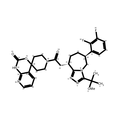 COC(C)(C)c1nnc2n1C[C@H](c1cccc(F)c1F)CC[C@H]2CC(=O)N1CCC2(CC1)OC(=O)Nc1ncccc12